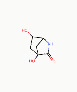 O=C1NC2CC1(O)CC2O